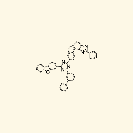 c1ccc(-c2cccc(-c3nc(-c4ccc5c(ccc6ccc7nn(-c8ccccc8)nc7c65)c4)nc(-c4ccc5c(c4)oc4ccccc45)n3)c2)cc1